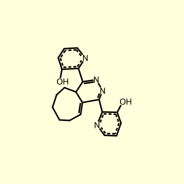 Oc1cccnc1C1=NN=C(c2ncccc2O)C2CCCCC/C=C/12